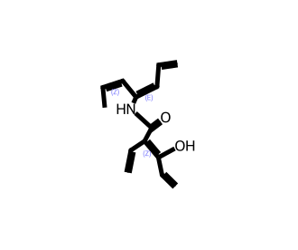 C=C/C=C(\C=C/C)NC(=O)/C(C=C)=C(\O)C=C